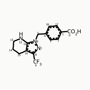 O=C(O)c1ccc(Cn2nc(C(F)(F)F)c3c2NCCC3)cc1